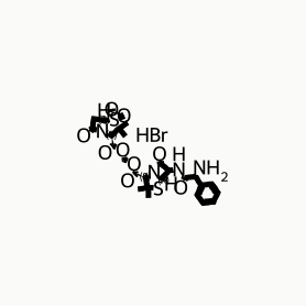 Br.CC1(C)S[C@@H]2C(NC(=O)C(N)c3ccccc3)C(=O)N2[C@H]1C(=O)OCOC(=O)[C@@H]1N2C(=O)C[C@H]2S(=O)(=O)C1(C)C